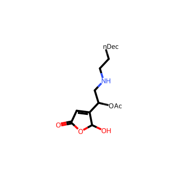 CCCCCCCCCCCCNCC(OC(C)=O)C1=CC(=O)OC1O